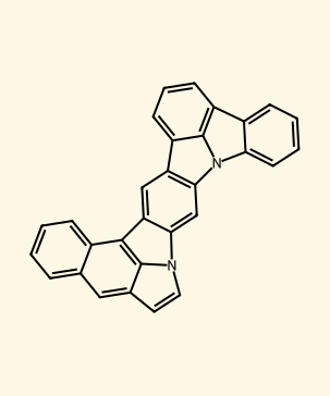 c1ccc2c(c1)cc1ccn3c4cc5c(cc4c2c13)c1cccc2c3ccccc3n5c21